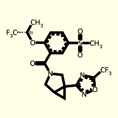 C[C@H](Oc1ccc(S(C)(=O)=O)cc1C(=O)N1CC2CC2(c2noc(C(F)(F)F)n2)C1)C(F)(F)F